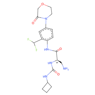 NC[C@@H](NC(=O)NC1CCC1)C(=O)Nc1ccc(N2CCOCC2=O)cc1C(F)F